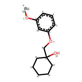 CC[C@H](C)Oc1cccc(OCC2(O)CCCCC2)c1